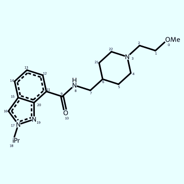 COCCN1CCC(CNC(=O)c2cccc3cn(C(C)C)nc23)CC1